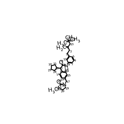 C=C(CCc1cccc(NC(=O)C(c2ccc(CN3CCN(C)C3=O)cc2)C2CCCC2)c1)CC(C)(C)C